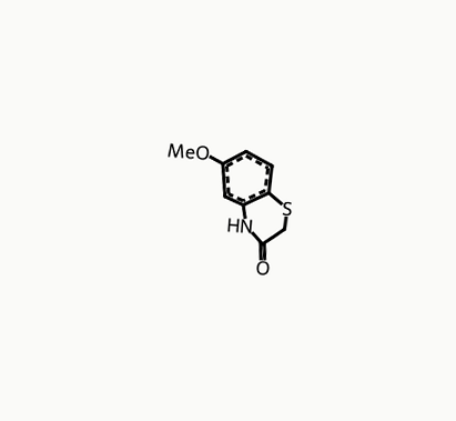 COc1ccc2c(c1)NC(=O)CS2